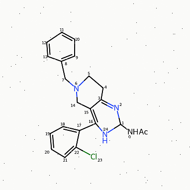 CC(=O)NC1N=C2CCN(Cc3ccccc3)CC2=C(c2ccccc2Cl)N1